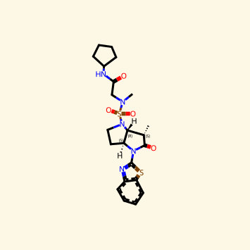 C[C@@H]1C(=O)N(c2nc3ccccc3s2)[C@H]2CCN(S(=O)(=O)N(C)CC(=O)NC3CCCC3)[C@H]12